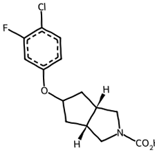 O=C(O)N1C[C@H]2CC(Oc3ccc(Cl)c(F)c3)C[C@H]2C1